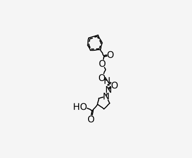 O=C(OCOn1on1N1CCC(C(=O)O)C1)c1ccccc1